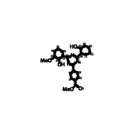 COC(=O)c1ccc(-c2nc(-c3ccccc3O)nc(-c3cccc(OC)c3O)n2)cc1